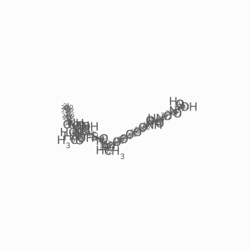 CC(=O)N[C@H]1[C@H]([C@H](O)[C@H](O)CNC(=O)c2ccc(-c3ccccc3)cc2)O[C@@](OCCCSCCNC(=O)c2ccc(C)c(OCCOCCOCCOCCOCCOCCNC(=O)CCC(=O)NCCOCCNC(=O)CCC(=O)O)c2)(C(=O)O)C[C@@H]1O